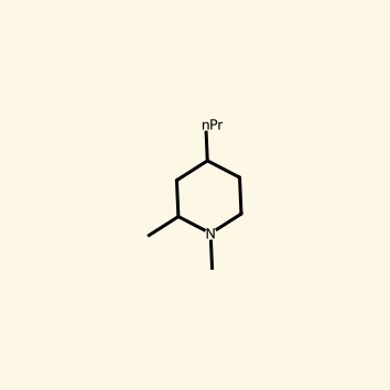 CCCC1CCN(C)C(C)C1